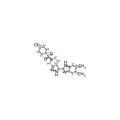 Cc1cc2nc(-c3[nH]nc4c3CCN(S(=O)(=O)c3ccc(Cl)cc3)C4)[nH]c2cc1C